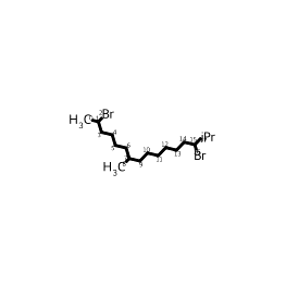 CC(Br)CCCCC(C)CCCCCCC(Br)C(C)C